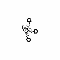 FC[C@]1(COCc2ccccc2)OC[C@@H](OCc2ccccc2)[C@@H]1OCc1ccccc1